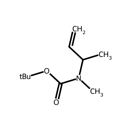 C=CC(C)N(C)C(=O)OC(C)(C)C